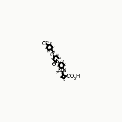 Cn1c(C2CCC2C(=O)O)nc2ccc(-n3ccc(OCc4ccc(Cl)cc4)cc3=O)cc21